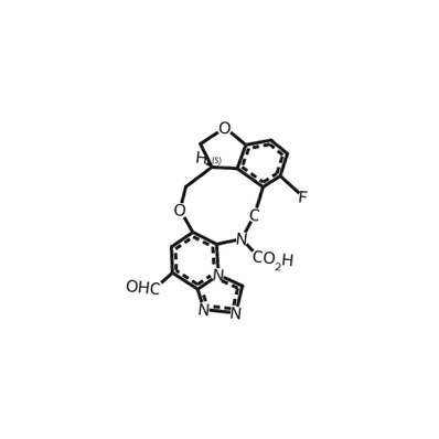 O=Cc1cc2c(n3cnnc13)N(C(=O)O)Cc1c(F)ccc3c1[C@@H](CO3)CO2